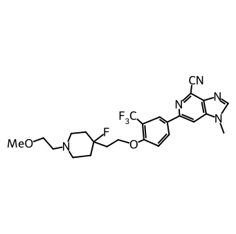 COCCN1CCC(F)(CCOc2ccc(-c3cc4c(ncn4C)c(C#N)n3)cc2C(F)(F)F)CC1